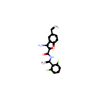 C=Cc1ccc2oc(C(=O)NC(=C)c3c(F)cccc3F)c(N)c2c1